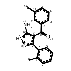 Cc1ccccc1-c1n[nH]c(N)c1C(=O)c1cccc(I)c1